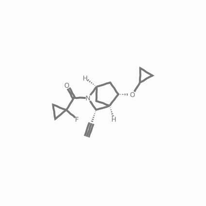 C#C[C@H]1[C@H]2C[C@H](C[C@@H]2OC2CC2)N1C(=O)C1(F)CC1